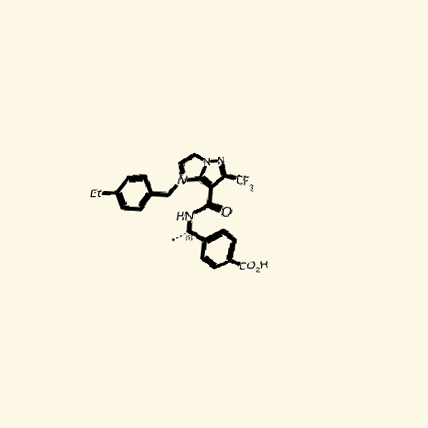 CCc1ccc(CN2CCn3nc(C(F)(F)F)c(C(=O)N[C@@H](C)c4ccc(C(=O)O)cc4)c32)cc1